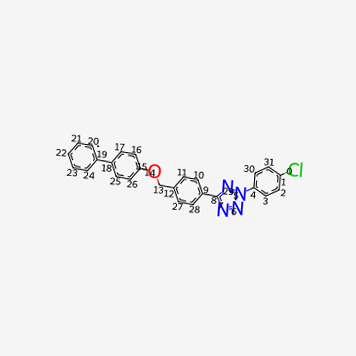 Clc1ccc(-n2nnc(-c3ccc(COc4ccc(-c5[c]cccc5)cc4)cc3)n2)cc1